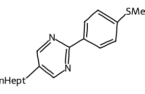 CCCCCCCc1cnc(-c2ccc(SC)cc2)nc1